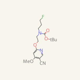 COc1cc(OCCN(CCCF)C(=O)OC(C)(C)C)ncc1C#N